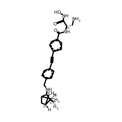 C[C@@H]1C(NCc2ccc(C#Cc3ccc(C(=O)N[C@@H](CN)C(=O)NO)cc3)cc2)C2C[C@@H]1C2(C)C